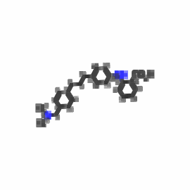 CCN(CC)Cc1ccc(CCCc2ccc(Nc3ccccc3C(=O)O)cc2)cc1